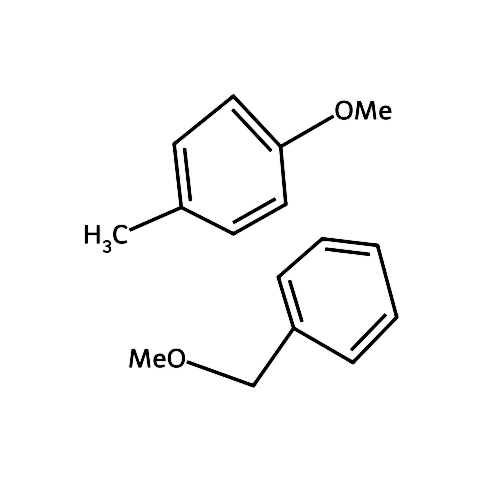 COCc1ccccc1.COc1ccc(C)cc1